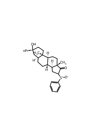 CCC[C@@]1(O)CC[C@@]2(C)[C@@H](CC[C@@H]3[C@@H]2CC[C@]2(C)C(=O)C([S+]([O-])c4ccccc4)C[C@@H]32)C1